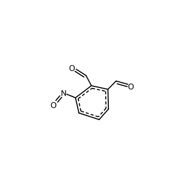 O=Cc1cccc(N=O)c1C=O